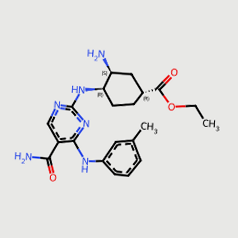 CCOC(=O)[C@@H]1CC[C@@H](Nc2ncc(C(N)=O)c(Nc3cccc(C)c3)n2)[C@@H](N)C1